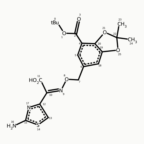 CC(C)(C)OC(=O)c1cc(CO/N=C(\C(=O)O)c2csc(N)n2)cc2c1OC(C)(C)O2